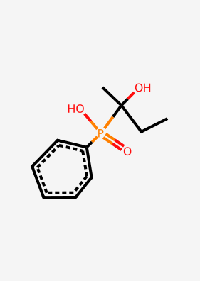 CCC(C)(O)P(=O)(O)c1ccccc1